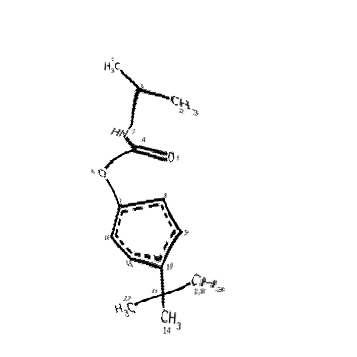 CC(C)NC(=O)Oc1ccc(C(C)(C)C)cc1